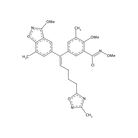 CO/N=C(\Cl)c1cc(/C(=C\CCCc2nc(C)no2)c2cc(C)c3onc(OC)c3c2)cc(C)c1OC